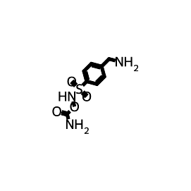 NCc1ccc(S(=O)(=O)NOC(N)=O)cc1